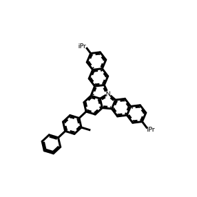 Cc1cc(C2=CC=C=C=C2)ccc1-c1cc2c3cc4cc(C(C)C)ccc4cc3n3c4cc5ccc(C(C)C)cc5cc4c(c1)c23